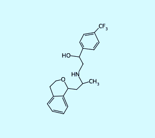 CC(CC1OCCc2ccccc21)NCC(O)c1ccc(C(F)(F)F)cc1